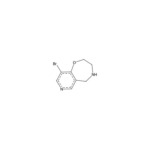 Brc1cncc2c1OCCNC2